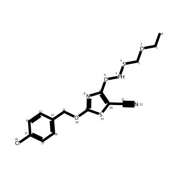 CCOCSPOc1nc(OCc2ccc(Cl)cc2)sc1C#N